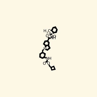 Cc1ccccc1S(=O)(=O)NC(=O)c1ccc2c(ccn2Cc2cccc(NC(=O)OCC3CCC3)c2)c1